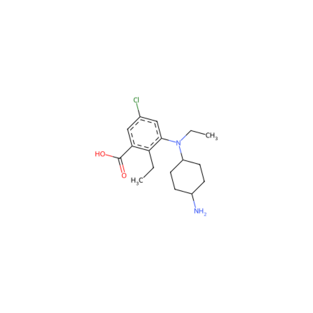 CCc1c(C(=O)O)cc(Cl)cc1N(CC)C1CCC(N)CC1